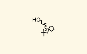 CC(C)(C)CC1(SSCCO)CCCC1